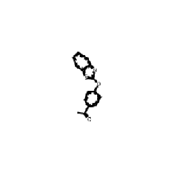 CC(=O)c1ccc(Oc2nc3ccccc3s2)cc1